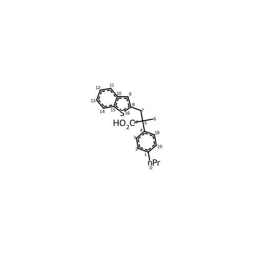 CCCc1ccc(C(C)(Cc2cc3ccccc3s2)C(=O)O)cc1